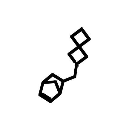 [CH]1CC2(C1)CN(CC1CC3C=CC1C3)C2